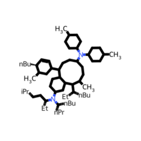 CCCCC(CC)C1C(C)CCC(N(C2CCC(C)CC2)C2CCC(C)CC2)CCC(C2C=C[C@H](CCCC)C(C)C2)C2CCC(N(C(CC)CCC(C)C)C(CCC)CCCC)CC21